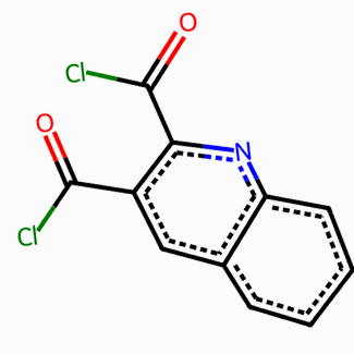 O=C(Cl)c1cc2ccccc2nc1C(=O)Cl